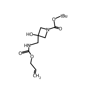 C=CCOC(=O)NCC1(O)CN(C(=O)OC(C)(C)C)C1